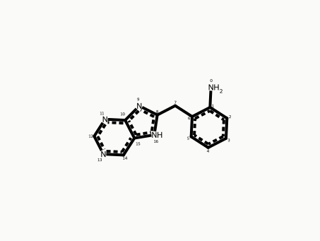 Nc1ccccc1Cc1nc2ncncc2[nH]1